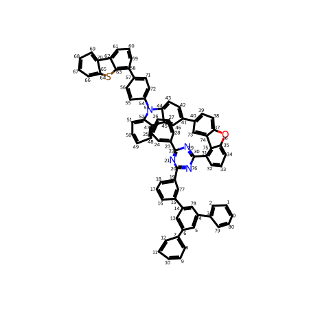 c1ccc(-c2cc(-c3ccccc3)cc(-c3cccc(-c4nc(-c5ccccc5)nc(-c5cccc6oc7ccc(-c8ccc9c(c8)c8ccccc8n9-c8ccc(-c9cccc%10c9sc9ccccc9%10)cc8)cc7c56)n4)c3)c2)cc1